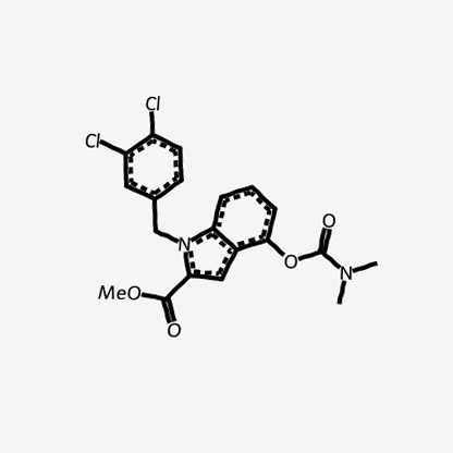 COC(=O)c1cc2c(OC(=O)N(C)C)cccc2n1Cc1ccc(Cl)c(Cl)c1